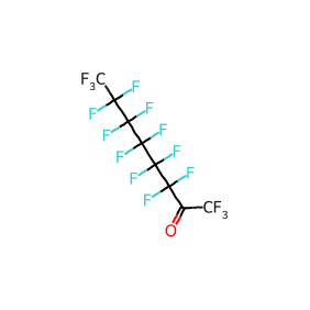 O=C(C(F)(F)F)C(F)(F)C(F)(F)C(F)(F)C(F)(F)C(F)(F)C(F)(F)F